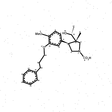 COc1ccc([C@@H]2CN(C(=O)O)C[C@@]2(C)[C@@H](C)O)cc1OCCCc1ccccc1